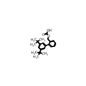 CC(C)(C)c1cc(-c2ccccc2COC(=O)O)cc(C(C)(C)C)c1